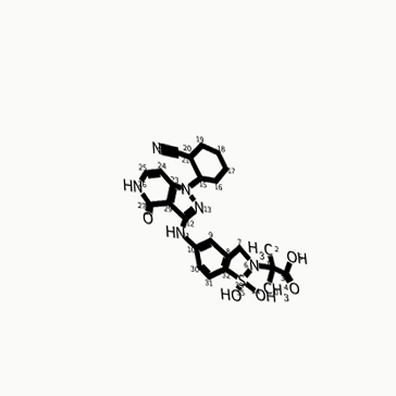 CC(C)(C(=O)O)N1Cc2cc(Nc3nn(C4CCCCC4C#N)c4cc[nH]c(=O)c34)ccc2S1(O)O